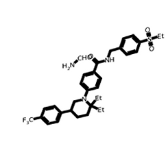 CCC1(CC)CCC(c2ccc(C(F)(F)F)cc2)CN1c1ccc(C(=O)NCc2ccc(S(=O)(=O)CC)cc2)cc1.NC=O